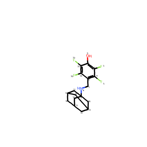 Oc1c(F)c(F)c(CNC23CC4CC(CC(C4)C2)C3)c(F)c1F